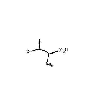 CNC(C(=O)O)[C@H](C)O